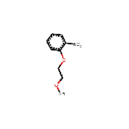 CCCOCCOc1ccccc1[N+](=O)[O-]